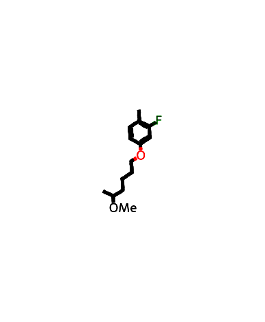 COC(C)CCCCOc1ccc(C)c(F)c1